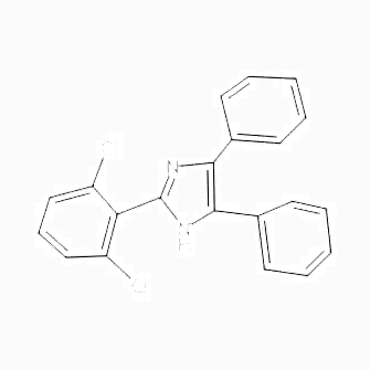 Clc1cccc(Cl)c1-c1nc(-c2ccccc2)c(-c2ccccc2)[nH]1